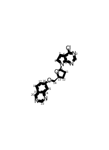 Clc1ncnc2c1ccn2[C@H]1CC[C@@H](COc2ccc3cncnc3c2)O1